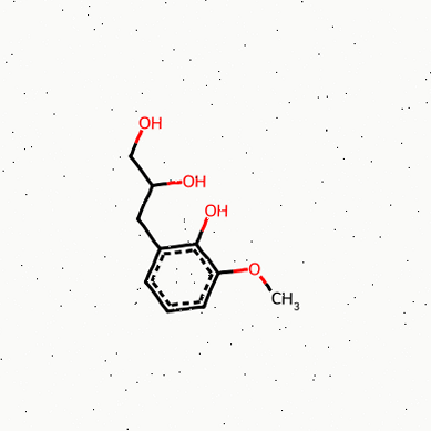 COc1cccc(CC(O)CO)c1O